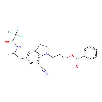 CC(Cc1cc(C#N)c2c(c1)CCN2CCCOC(=O)c1ccccc1)NC(=O)C(F)(F)F